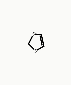 [CH]1SC=CS1